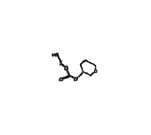 O=C(OSS)OC1CCCOC1